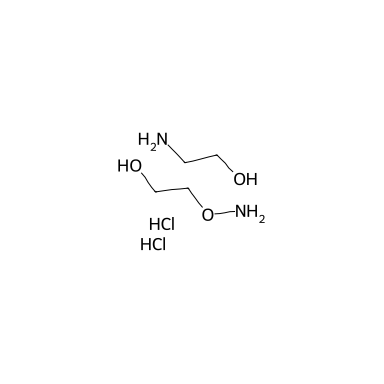 Cl.Cl.NCCO.NOCCO